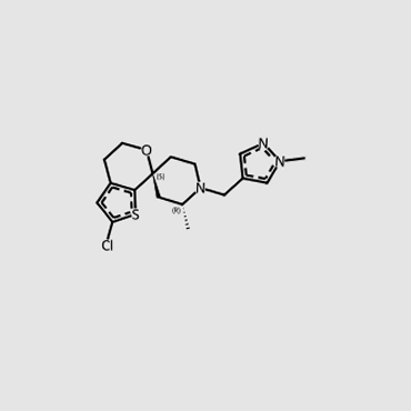 C[C@@H]1C[C@]2(CCN1Cc1cnn(C)c1)OCCc1cc(Cl)sc12